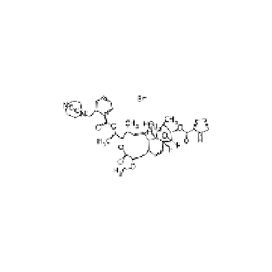 CO[C@H]1CC2C=C[C@H]3[C@H]4O[C@]2(/C(C)=C/[C@@H](C)[C@@H]([C@@H](C)OC(=O)c2ccccc2C[N+]25CCN(CC2)CC5)OC1=O)[C@@H]3[C@H](O)[C@@H](C)[C@H]4OC(=O)c1ccc[nH]1.[Br-]